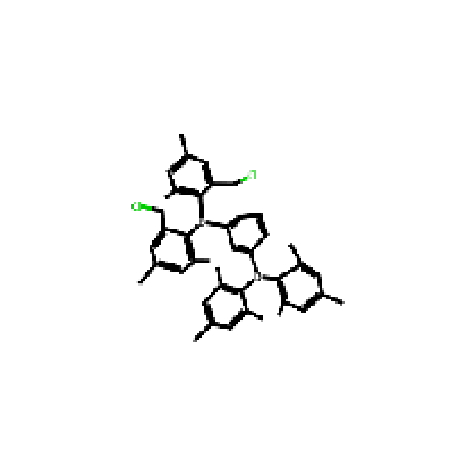 Cc1cc(C)c(B(c2cccc(B(c3c(C)cc(C)cc3CCl)c3c(C)cc(C)cc3CCl)c2)c2c(C)cc(C)cc2C)c(C)c1